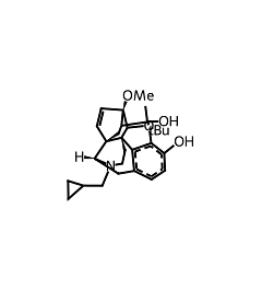 CO[C@]12C=C[C@@]3(CC1C(C)(O)C(C)(C)C)[C@H]1Cc4ccc(O)c5c4[C@@]3(CCN1CC1CC1)C2O5